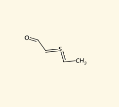 CC=S=CC=O